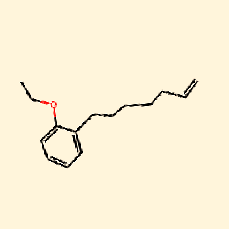 C=CCCCCCc1ccccc1OCC